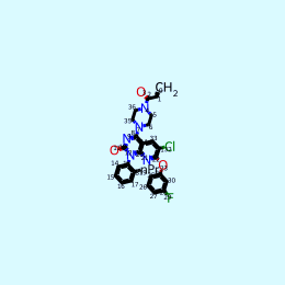 C=CC(=O)N1CCN(c2nc(=O)n(-c3ccccc3CCC)c3nc(Oc4cccc(F)c4)c(Cl)cc23)CC1